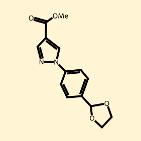 COC(=O)c1cnn(-c2ccc(C3OCCO3)cc2)c1